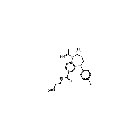 CC(=N)N1c2ccc(C(=O)NCCN=O)cc2N(c2ccc(Cl)cc2)CCC1N